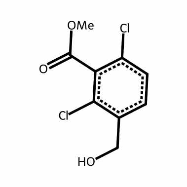 COC(=O)c1c(Cl)ccc(CO)c1Cl